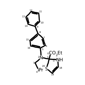 CCOC(=O)C1(N(CC(C)C)c2ccc(-c3ccccc3)cc2)NC=CS1